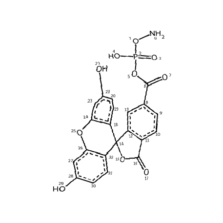 NOP(=O)(O)OC(=O)c1ccc2c(c1)C1(OC2=O)c2ccc(O)cc2Oc2cc(O)ccc21